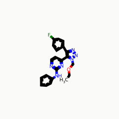 CCOCn1nnc(-c2ccc(F)cc2)c1-c1ccnc(Nc2ccccc2)n1